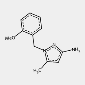 COc1ccccc1Cn1nc(N)cc1C